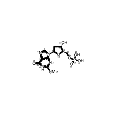 CNc1nc2c(ncn2[C@H]2C[C@H](O)[C@@H](COP(=O)(O)O)O2)c(=O)[nH]1